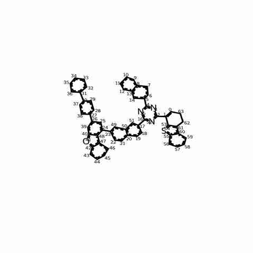 C1=C(c2nc(-c3ccc4ccccc4c3)nc(-c3ccc4ccc(-c5cc(-c6ccc(-c7ccccc7)cc6)cc6oc7ccccc7c56)cc4c3)n2)c2sc3ccccc3c2CC1